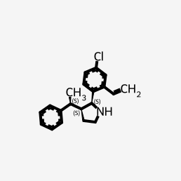 C=Cc1cc(Cl)ccc1[C@H]1NCC[C@H]1[C@H](C)c1ccccc1